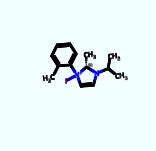 Cc1ccccc1[N+]1(I)C=CN(C(C)C)[C@H]1C